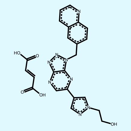 O=C(O)C=CC(=O)O.OCCn1cc(-c2cnc3nnn(Cc4ccc5ncccc5c4)c3n2)cn1